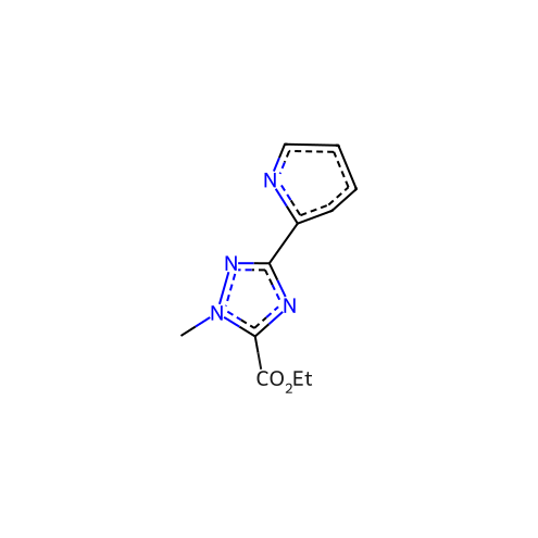 CCOC(=O)c1nc(-c2ccccn2)nn1C